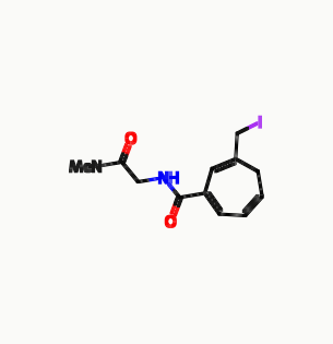 CNC(=O)CNC(=O)C1=CC=CCC(CI)=C1